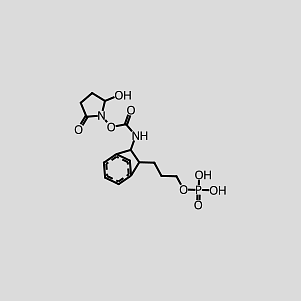 O=C(NC1c2cccc(c2)C1CCCOP(=O)(O)O)ON1C(=O)CCC1O